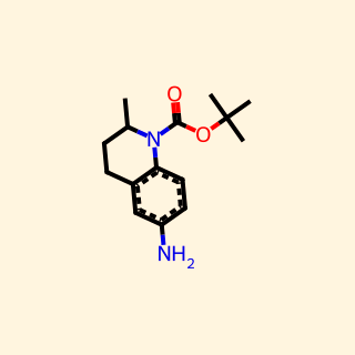 CC1CCc2cc(N)ccc2N1C(=O)OC(C)(C)C